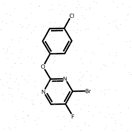 Fc1cnc(Oc2ccc(Cl)cc2)nc1Br